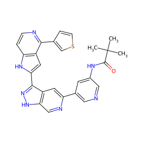 CC(C)(C)C(=O)Nc1cncc(-c2cc3c(-c4cc5c(-c6ccsc6)nccc5[nH]4)n[nH]c3cn2)c1